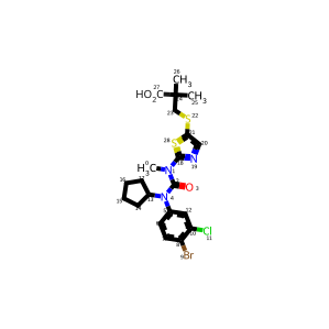 CN(C(=O)N(c1ccc(Br)c(Cl)c1)C1CCCC1)c1ncc(SCC(C)(C)C(=O)O)s1